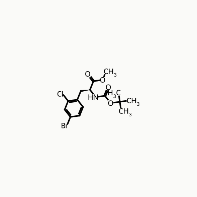 COC(=O)[C@H](Cc1ccc(Br)cc1Cl)NC(=O)OC(C)(C)C